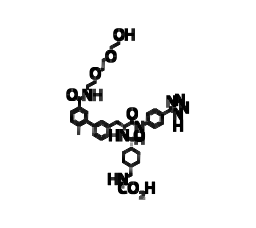 Cc1ccc(C(=O)NCCOCCOCCO)cc1-c1cccc(C[C@H](NC(=O)[C@H]2CC[C@H](CNC(=O)O)CC2)C(=O)Nc2ccc(-c3nnn[nH]3)cc2)c1